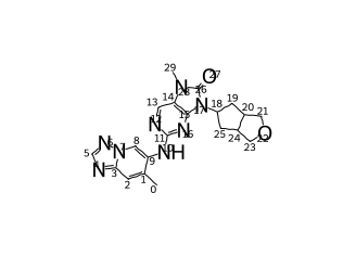 Cc1cc2ncnn2cc1Nc1ncc2c(n1)n(C1CC3COCC3C1)c(=O)n2C